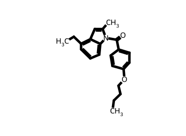 CCCCOc1ccc(C(=O)n2c(C)cc3c(CC)cccc32)cc1